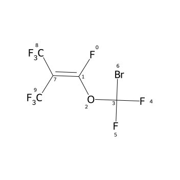 FC(OC(F)(F)Br)=C(C(F)(F)F)C(F)(F)F